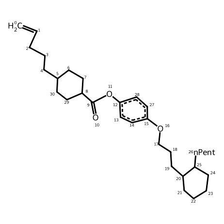 C=CCCCC1CCC(C(=O)Oc2ccc(OCCCC3CCCCC3CCCCC)cc2)CC1